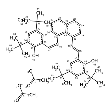 CC(=O)[O-].CC(=O)[O-].CC(C)(C)c1cc(C=Nc2cccc3cccc(N=Cc4cc(C(C)(C)C)cc(C(C)(C)C)c4O)c23)c(O)c(C(C)(C)C)c1.[Co+2]